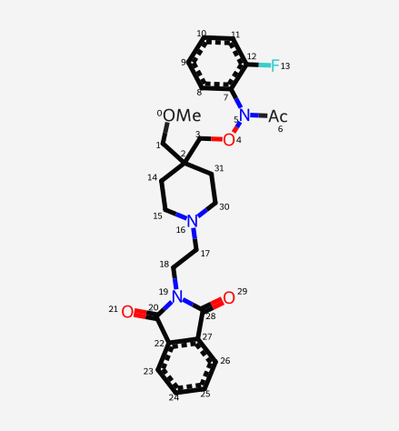 COCC1(CON(C(C)=O)c2ccccc2F)CCN(CCN2C(=O)c3ccccc3C2=O)CC1